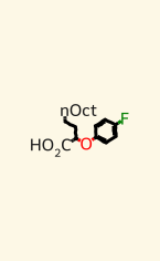 CCCCCCCCCCC(Oc1ccc(F)cc1)C(=O)O